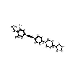 N#CSc1c(F)cc(C#Cc2ccc(C3CCC(C4CCCC4)CC3)cc2)cc1F